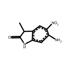 CC1C(=O)Nc2cc(N)c([N+](=O)[O-])cc21